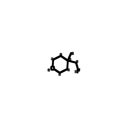 CC1(CF)CCOCC1